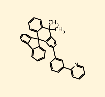 CC1(C)c2ccccc2C2(c3ccccc3-c3ccccc32)c2cc(-c3cccc(-c4ccccn4)c3)ccc21